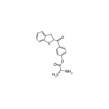 C[C@H](N)C(=O)Oc1ccc(C(=O)C2Cc3ccccc3S2)cc1